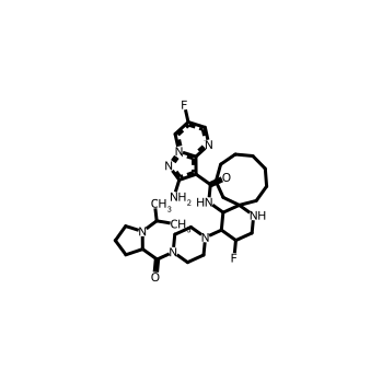 CC(C)N1CCCC1C(=O)N1CCN(C2C(F)CNC3(CCCCCCCC3)C2NC(=O)c2c(N)nn3cc(F)cnc23)CC1